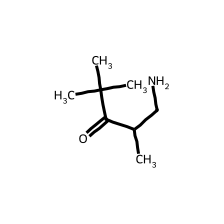 CC(CN)C(=O)C(C)(C)C